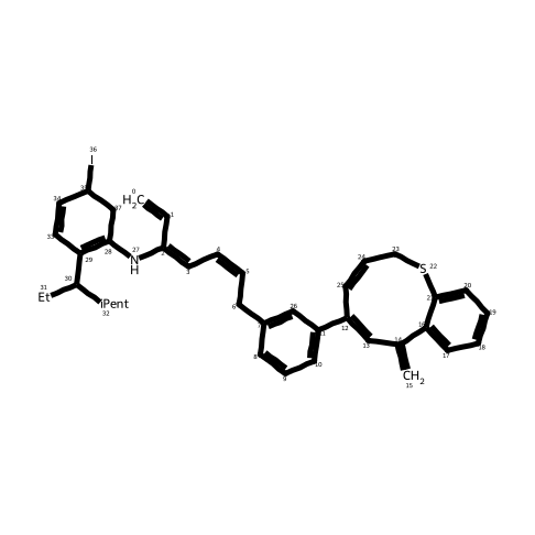 C=C/C(=C\C=C/Cc1cccc(C2=C/C(=C)c3ccccc3SC/C=C\2)c1)NC1=C(C(CC)C(C)CCC)C=CC(I)C1